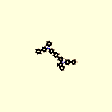 CC1(C)c2ccccc2-c2c1c1cc(C3=CC=C(c4ccc(N(c5ccccc5)c5ccc(-c6ccccc6)cc5)cc4)CC3)ccc1n2-c1ccc(-c2ccccc2)cc1